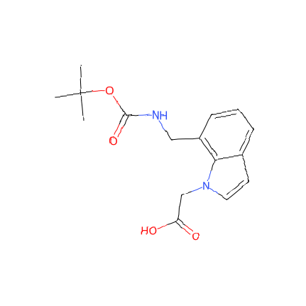 CC(C)(C)OC(=O)NCc1cccc2ccn(CC(=O)O)c12